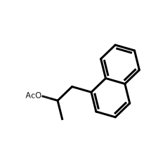 CC(=O)OC(C)Cc1cccc2ccccc12